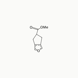 COC(=O)C1Cc2cocc2C1